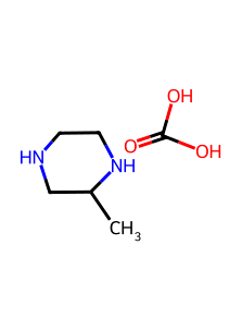 CC1CNCCN1.O=C(O)O